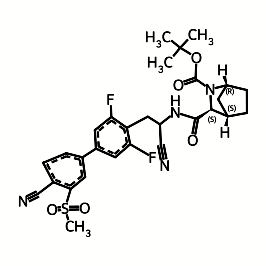 CC(C)(C)OC(=O)N1[C@@H]2CC[C@@H](C2)[C@H]1C(=O)NC(C#N)Cc1c(F)cc(-c2ccc(C#N)c(S(C)(=O)=O)c2)cc1F